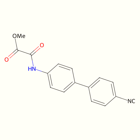 [C-]#[N+]c1ccc(-c2ccc(NC(=O)C(=O)OC)cc2)cc1